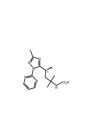 C[C@@H](CC(C)(C)NC(=O)O)c1nc(I)nn1-c1ncccn1